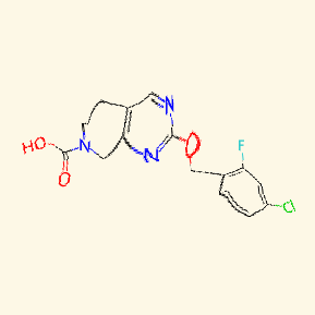 O=C(O)N1CCc2cnc(OCc3ccc(Cl)cc3F)nc2C1